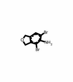 Nc1c(Br)cc2c(c1Br)COC2